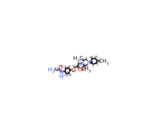 Cc1ccc(N2CC(C)N(C[C@@H](O)COc3ccc(NC(N)=O)cc3)C(C)C2)cc1